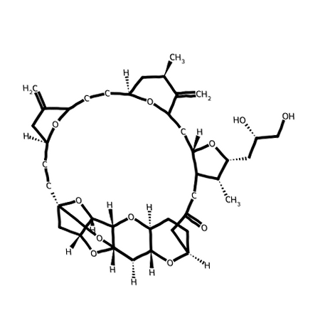 C=C1C[C@@H]2CC[C@@]34C[C@H]5O[C@H]6[C@@H](O3)[C@H]3O[C@H](CC[C@@H]3O[C@H]6[C@H]5O4)CC(=O)CC3[C@H](CC4O[C@@H](CCC1O2)C[C@@H](C)C4=C)O[C@H](C[C@H](O)CO)[C@@H]3C